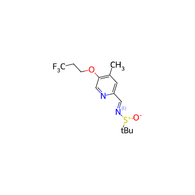 Cc1cc(/C=N/[S+]([O-])C(C)(C)C)ncc1OCCC(F)(F)F